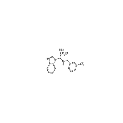 CCOC(=O)C(NCc1cccc(C(F)(F)F)c1)c1c[nH]c2ccccc12.Cl